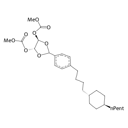 CCCCC[C@H]1CC[C@H](CCCCc2ccc(C3O[C@H](OC(=O)OC)[C@@H](OC(=O)OC)O3)cc2)CC1